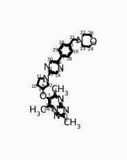 Cc1nc2nc(C)c(O[C@@H]3CCN(c4cnc(-c5ccc(CN6CCOCC6)cc5)cn4)C3)c(C)n2n1